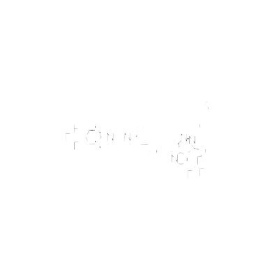 CC(COC=CC(=O)N1CCN(c2ncc(C(F)(F)F)cn2)CC1)n1cc(C(F)(F)F)c2c(=O)n(COCC[Si](C)(C)C)ncc21